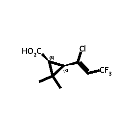 CC1(C)[C@H](C(Cl)=CC(F)(F)F)[C@@H]1C(=O)O